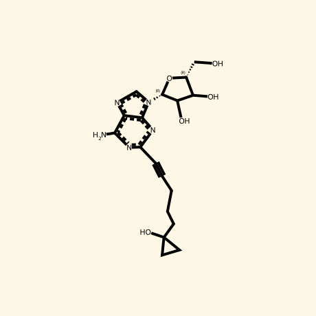 Nc1nc(C#CCCCC2(O)CC2)nc2c1ncn2[C@@H]1O[C@H](CO)C(O)C1O